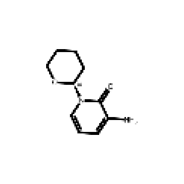 Nc1cccn([C@@H]2CCCCO2)c1=O